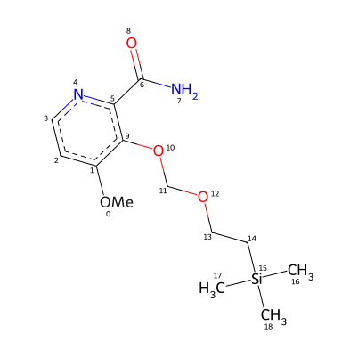 COc1ccnc(C(N)=O)c1OCOCC[Si](C)(C)C